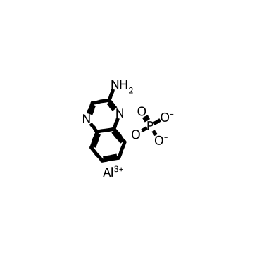 Nc1cnc2ccccc2n1.O=P([O-])([O-])[O-].[Al+3]